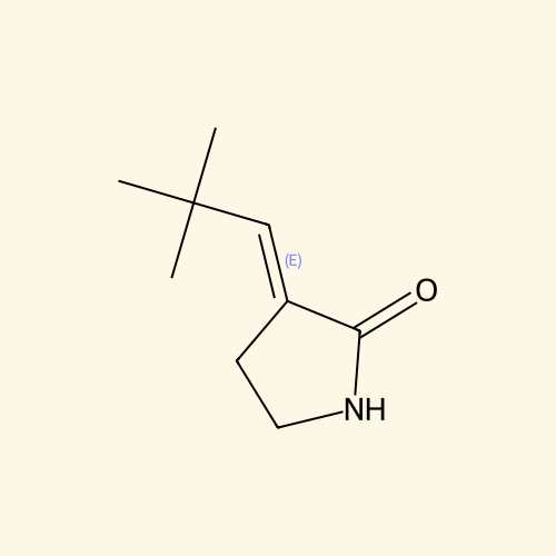 CC(C)(C)/C=C1\CCNC1=O